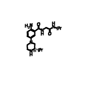 CC(C)NC(=O)CNC(=O)c1cc(N2CCN[C@@H](C(C)C)C2)ccc1N